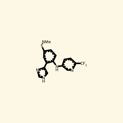 CNSc1ccc(Nc2ccc(C(F)(F)F)nc2)c(-c2c[nH]cn2)c1